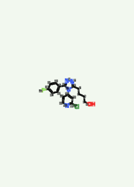 OCCCCc1nnc(-c2ccc(F)cc2)n1-c1ccnc(Cl)c1